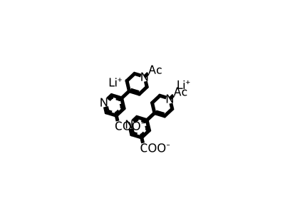 CC(=O)N1CC=C(c2cncc(C(=O)[O-])c2)CC1.CC(=O)N1CC=C(c2cncc(C(=O)[O-])c2)CC1.[Li+].[Li+]